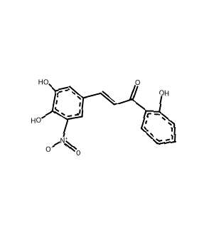 O=C(/C=C/c1cc(O)c(O)c([N+](=O)[O-])c1)c1ccccc1O